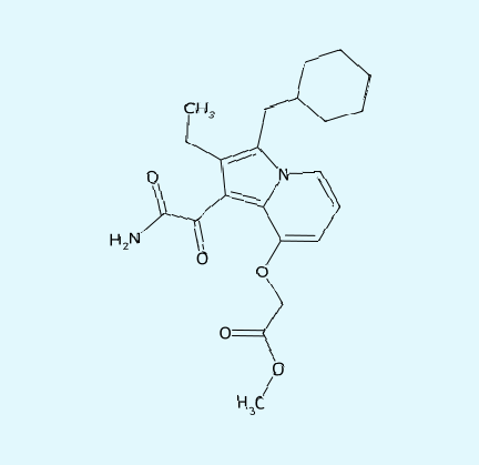 CCc1c(C(=O)C(N)=O)c2c(OCC(=O)OC)cccn2c1CC1CCCCC1